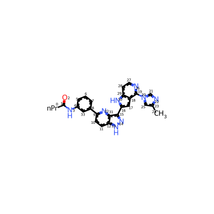 CCCC(=O)Nc1cccc(-c2ccc3[nH]nc(-c4cc5c(-n6cnc(C)c6)nccc5[nH]4)c3n2)c1